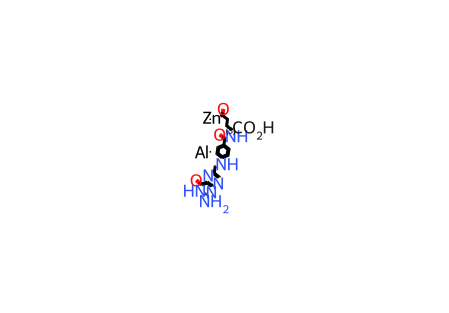 Nc1nc2ncc(CNc3ccc(C(=O)N[C@@H](CC[C](=O)[Zn])C(=O)O)cc3)nc2c(=O)[nH]1.[Al]